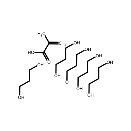 C=C(C)C(=O)O.OCCCO.OCCCO.OCCCO.OCCCO.OCCCO